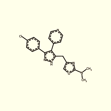 CN(C)c1nc(Cc2[nH]nc(-c3ccc(Cl)cc3)c2-c2ccncc2)co1